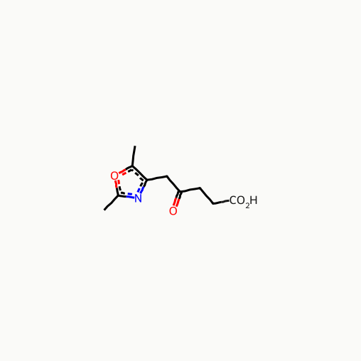 Cc1nc(CC(=O)CCC(=O)O)c(C)o1